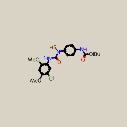 COc1cc(OC)c(NC(=O)N(S)c2ccc(NC(=O)OCC(C)C)cc2)cc1Cl